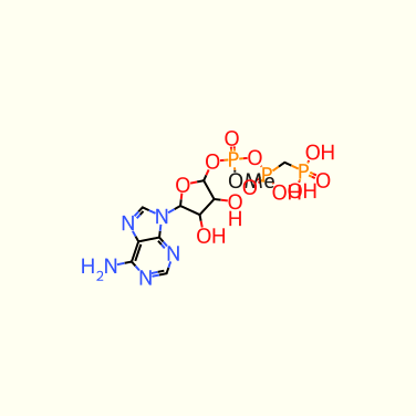 COP(=O)(OC1OC(n2cnc3c(N)ncnc32)C(O)C1O)OP(=O)(O)CP(=O)(O)O